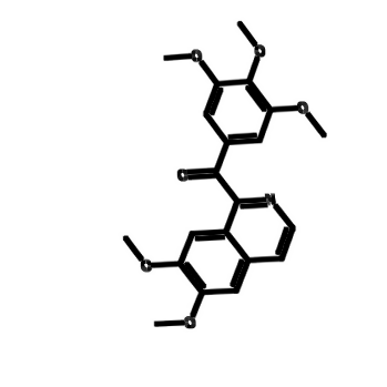 COc1cc2ccnc(C(=O)c3cc(OC)c(OC)c(OC)c3)c2cc1OC